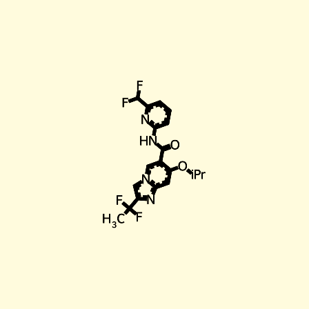 CC(C)Oc1cc2nc(C(C)(F)F)cn2cc1C(=O)Nc1cccc(C(F)F)n1